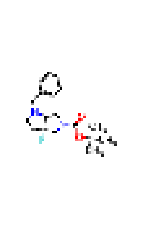 CC(C)(C)OC(=O)N1CC2N(Cc3ccccc3)CCC2(F)C1